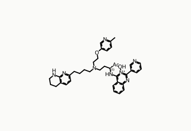 CC(=O)[C@H](CCN(CCCCc1ccc2c(n1)NCCC2)CCOc1ccc(C)nc1)Nc1c2ccccc2nc(-c2cccnc2)[n+]1O